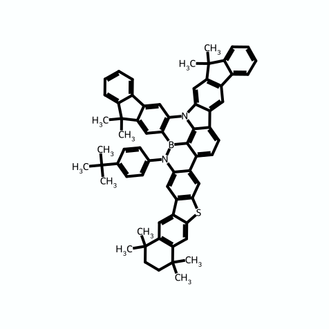 CC(C)(C)c1ccc(N2B3c4cc5c(cc4-n4c6cc7c(cc6c6ccc(c3c64)-c3cc4sc6cc8c(cc6c4cc32)C(C)(C)CCC8(C)C)-c2ccccc2C7(C)C)-c2ccccc2C5(C)C)cc1